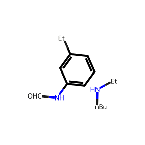 CCCCNCC.CCc1cccc(NC=O)c1